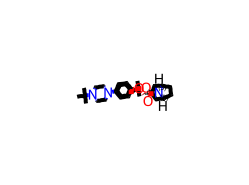 CC(C)(C)OC(=O)N1[C@@H]2CC[C@H]1C[C@@H](COc1ccc(N3CCN(C(C)(C)C)CC3)cc1)C2